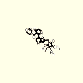 Cc1ccnc(-c2ccnc3cc(CN4C(=O)C(C)C(C)(C)C4=O)sc23)c1C(=O)N1CCOCC1